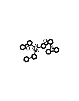 c1ccc(-c2cccc(-c3nc(-c4ccc5c(c4)oc4cccc(-n6c7ccccc7c7ccccc76)c45)nc(-c4cccc5c4oc4ccccc45)n3)c2)cc1